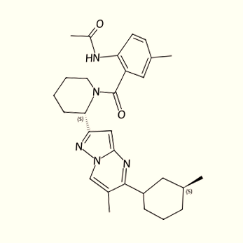 CC(=O)Nc1ccc(C)cc1C(=O)N1CCCC[C@H]1c1cc2nc(C3CCC[C@H](C)C3)c(C)cn2n1